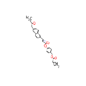 C=CC(=O)Cc1ccc2cc(/C=C/C(=O)Oc3ccc(COC(=O)C=C)cc3)ccc2c1